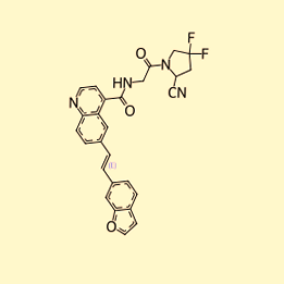 N#CC1CC(F)(F)CN1C(=O)CNC(=O)c1ccnc2ccc(/C=C/c3ccc4ccoc4c3)cc12